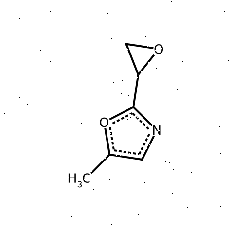 Cc1cnc(C2CO2)o1